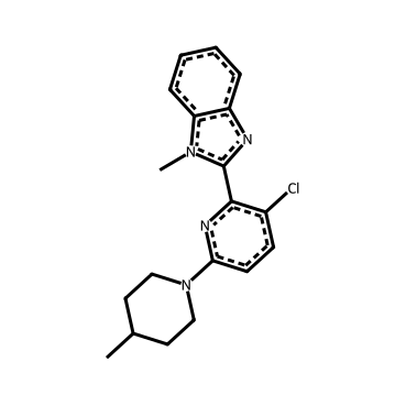 CC1CCN(c2ccc(Cl)c(-c3nc4ccccc4n3C)n2)CC1